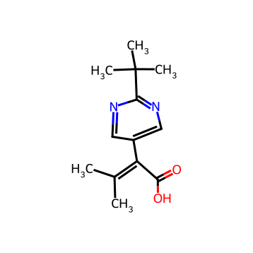 CC(C)=C(C(=O)O)c1cnc(C(C)(C)C)nc1